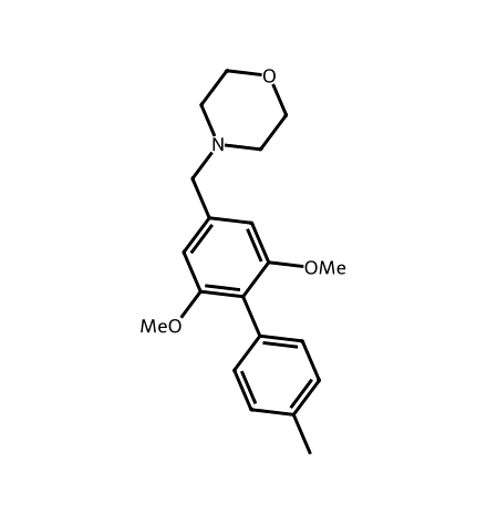 COc1cc(CN2CCOCC2)cc(OC)c1-c1ccc(C)cc1